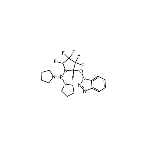 FC1N(P(N2CCCC2)N2CCCC2)C(F)(On2nnc3ccccc32)C(F)(F)C1(F)F